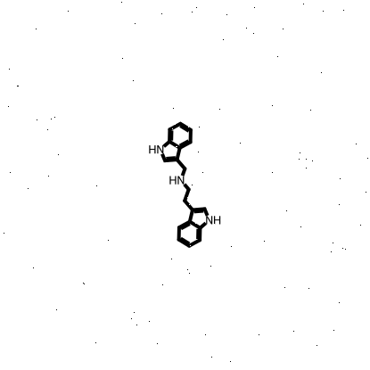 c1ccc2c(CCNCc3c[nH]c4ccccc34)c[nH]c2c1